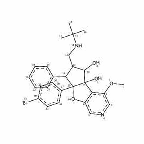 COc1cncc2c1C1(O)C(O)C(CNC(C)(C)C)C(c3ccccc3)C1(c1ccc(Br)cc1)O2